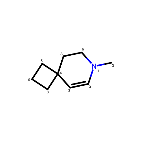 CN1C=CC2(CCC2)CC1